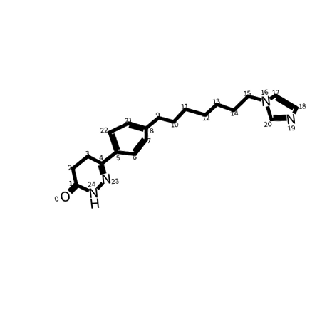 O=C1CCC(c2ccc(CCCCCCCn3ccnc3)cc2)=NN1